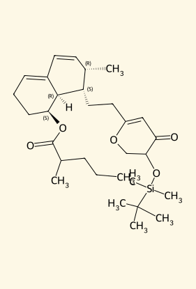 CCCC(C)C(=O)O[C@H]1CCC=C2C=C[C@H](C)[C@H](CCC3=CC(=O)C(O[Si](C)(C)C(C)(C)C)CO3)[C@H]21